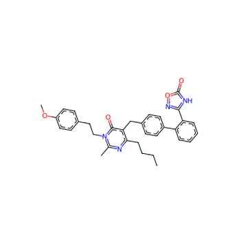 CCCCc1nc(C)n(CCc2ccc(OC)cc2)c(=O)c1Cc1ccc(-c2ccccc2-c2noc(=O)[nH]2)cc1